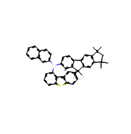 CC1(C)CC(C)(C)c2cc3c(cc21)-c1ccc(N(c2ccc4ccccc4c2)c2cccc4sc5ccccc5c24)cc1C3(C)C